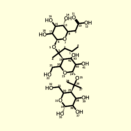 CCCC(C)(O[C@@H]1OC(CC(=O)O)[C@@H](O)C(O)C1O)[C@@H]1C(CO)O[C@@H](OC(C)(C)[C@@H]2C(CO)O[C@@H](O)C(O)C2O)C(O)C1O